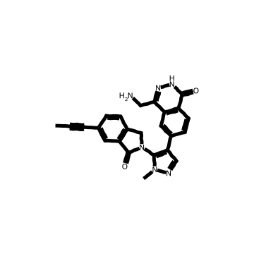 CC#Cc1ccc2c(c1)C(=O)N(c1c(-c3ccc4c(=O)[nH]nc(CN)c4c3)cnn1C)C2